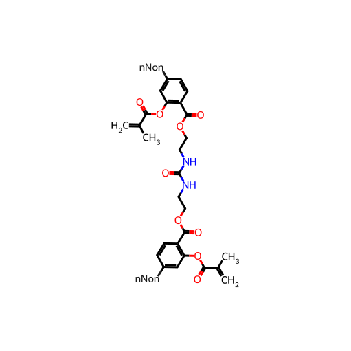 C=C(C)C(=O)Oc1cc(CCCCCCCCC)ccc1C(=O)OCCNC(=O)NCCOC(=O)c1ccc(CCCCCCCCC)cc1OC(=O)C(=C)C